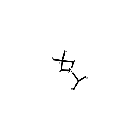 CC(C)N1CC(C)(C)C1